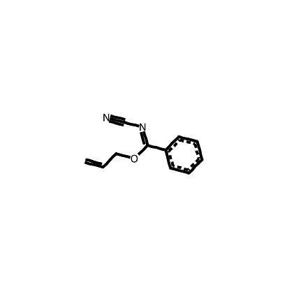 C=CCOC(=NC#N)c1ccccc1